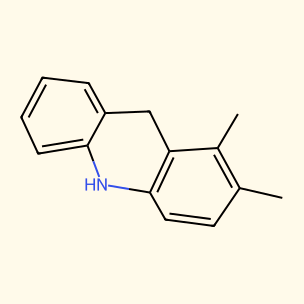 Cc1ccc2c(c1C)Cc1ccccc1N2